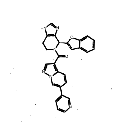 O=C(c1cnn2cc(-c3cccnc3)ccc12)N1CCc2[nH]cnc2[C@H]1c1cc2ccccc2o1